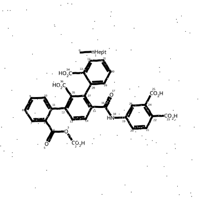 CCCCCCCC.O=C(O)OC(=O)c1ccccc1-c1ccc(C(=O)Nc2ccc(C(=O)O)c(C(=O)O)c2)c(-c2ccccc2C(=O)O)c1C(=O)O